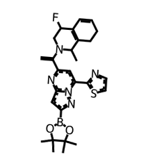 C=C(c1cc(-c2nccs2)n2nc(B3OC(C)(C)C(C)(C)O3)cc2n1)N1CC(F)C2=C(CCC=C2)C1C